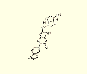 Cn1ccc2cc(-c3nc4cc(O[C@@H]5CO[C@H]6[C@@H]5OC[C@H]6O)[nH]c4cc3Cl)ccc21